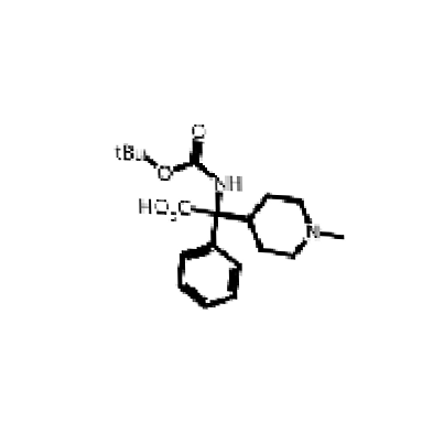 CN1CCC(C(NC(=O)OC(C)(C)C)(C(=O)O)c2ccccc2)CC1